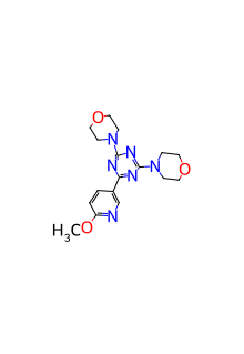 COc1ccc(-c2nc(N3CCOCC3)nc(N3CCOCC3)n2)cn1